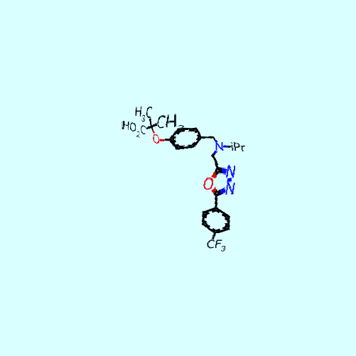 CC(C)N(Cc1ccc(OC(C)(C)C(=O)O)cc1)Cc1nnc(-c2ccc(C(F)(F)F)cc2)o1